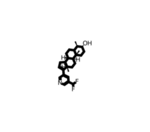 C[C@@H]1C2CC[C@@H]3[C@H](CC[C@]4(C)C(c5cncc(C(F)F)c5)=CC[C@@H]34)[C@@]2(C)CC[C@H]1O